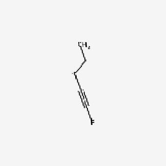 CC[CH]C#CF